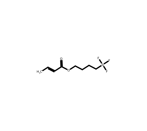 CC=CC(=O)OCCCC[Si](F)(F)F